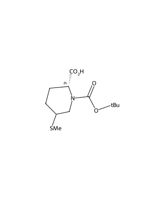 CSC1CC[C@H](C(=O)O)N(C(=O)OC(C)(C)C)C1